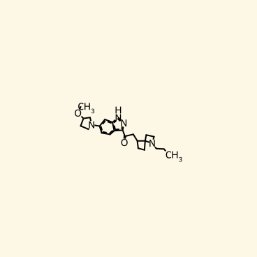 CCCN1CCC12CCC2CC(=O)c1n[nH]c2cc(N3CCC(OC)C3)ccc12